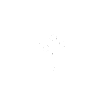 CC(=O)N1CC(O/N=C2\C[C@H](c3ccc(F)cc3-c3cccnc3)Cc3nc(N)nc(C)c32)C1